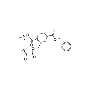 CC(C)(C)OC(=O)N1CCN(C(=O)OCc2ccccc2)CC1COC(=O)C(=O)O